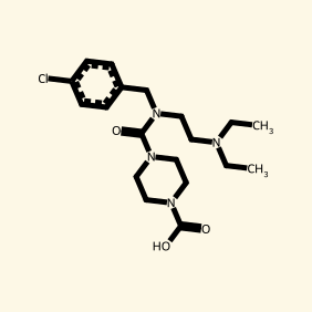 CCN(CC)CCN(Cc1ccc(Cl)cc1)C(=O)N1CCN(C(=O)O)CC1